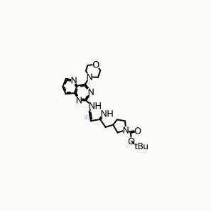 CC(C)(C)OC(=O)N1CCC(CC(=N)/C=C\Nc2nc(N3CCOCC3)c3ncccc3n2)C1